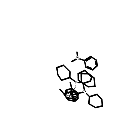 CN(C)c1ccccc1.C[C]12[CH]3[CH]4[CH]5[C]1(P(C1CCCCC1)C1CCCCC1)[Fe]43521678[CH]2[CH]1[C]6(C)[C@@]7(P(C1CCCCC1)C1CCCCC1)[CH]28